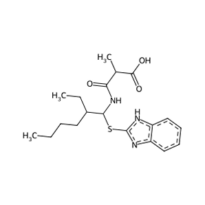 CCCCC(CC)C(NC(=O)C(C)C(=O)O)Sc1nc2ccccc2[nH]1